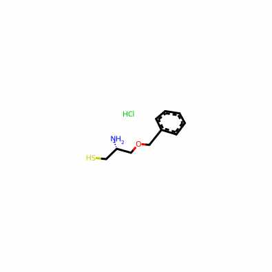 Cl.N[C@@H](CS)COCc1ccccc1